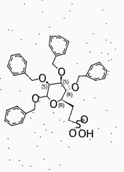 O=S(=O)(O)CC[C@H]1OC(OCc2ccccc2)[C@@H](OCc2ccccc2)[C@@H](OCc2ccccc2)[C@@H]1OCc1ccccc1